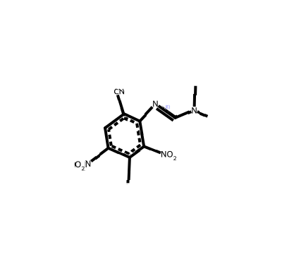 Cc1c([N+](=O)[O-])cc(C#N)c(/N=C/N(C)C)c1[N+](=O)[O-]